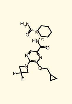 NC(=O)[C@@H]1CCCC[C@@H]1NC(=O)c1cnc(N2CC(F)(F)C2)c(OCC2CC2)n1